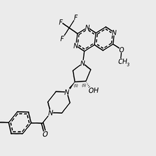 COc1cc2c(N3C[C@H](O)[C@@H](N4CCN(C(=O)c5ccc(Cl)cc5)CC4)C3)nc(C(F)(F)F)nc2cn1